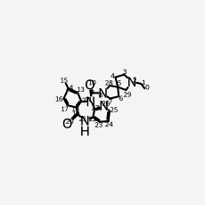 CCN1CCC2(CCN(C(=O)N3c4cc(C)ccc4C(=O)Nc4cccnc43)C2)C1